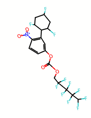 O=C(OCC(F)(F)C(F)(F)C(F)(F)C(F)F)Oc1ccc([N+](=O)[O-])c(C2C(F)CC(F)CC2F)c1